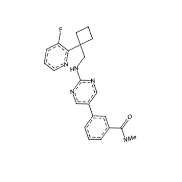 CNC(=O)c1cccc(-c2cnc(NCC3(c4ncccc4F)CCC3)nc2)c1